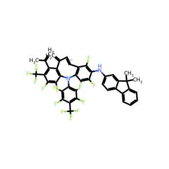 C=C1/C=C/c2c(F)c(Nc3ccc4c(c3)C(C)(C)c3ccccc3-4)c(F)c(F)c2N(c2c(F)c(F)c(C(F)(F)F)c(F)c2F)c2c(F)c(F)c(C(F)(F)F)c(C(=C)C)c21